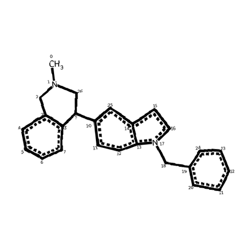 CN1Cc2ccccc2C(c2ccc3c(ccn3Cc3ccccc3)c2)C1